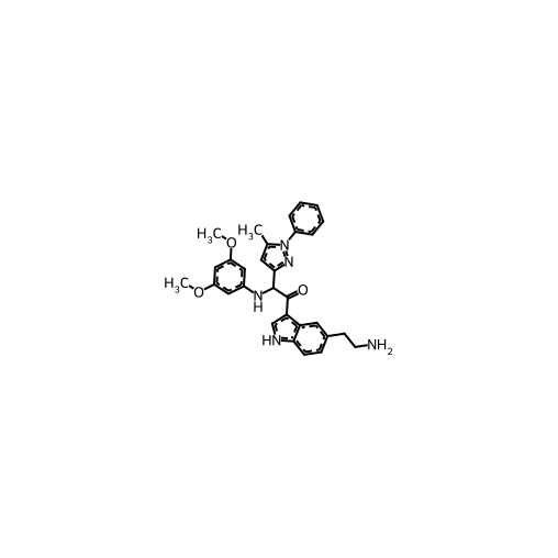 COc1cc(NC(C(=O)c2c[nH]c3ccc(CCN)cc23)c2cc(C)n(-c3ccccc3)n2)cc(OC)c1